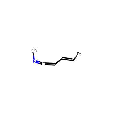 CCC=CC=C=NCCC